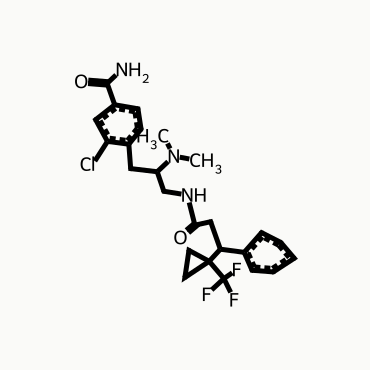 CN(C)C(CNC(=O)CC(c1ccccc1)C1(C(F)(F)F)CC1)Cc1ccc(C(N)=O)cc1Cl